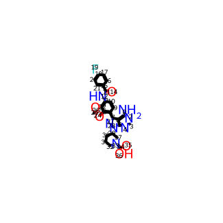 Nc1ncnc2c1c(-c1ccc(NC(=O)c3ccc(F)cc3)c3c1OCO3)nn2[C@@H]1CCCN(C(=O)O)C1